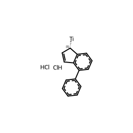 Cl.Cl.[Ti][C@H]1C=Cc2c(-c3ccccc3)cccc21